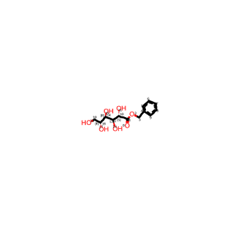 O=C(OCc1ccccc1)[C@@H](O)[C@@H](O)[C@H](O)[C@H](O)CO